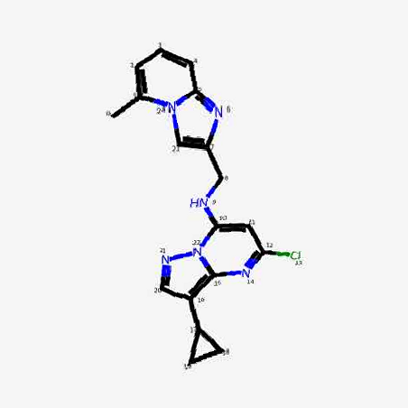 Cc1cccc2nc(CNc3cc(Cl)nc4c(C5CC5)cnn34)cn12